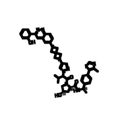 Cc1ncsc1-c1ccc([C@@H](C)NC(=O)[C@H]2C[C@H](O)CN2C(=O)C(C(C)C)n2cc(N3CC4(CN(c5ccc6nnc(-c7ccccc7O)cc6c5)C4)C3)cn2)cc1